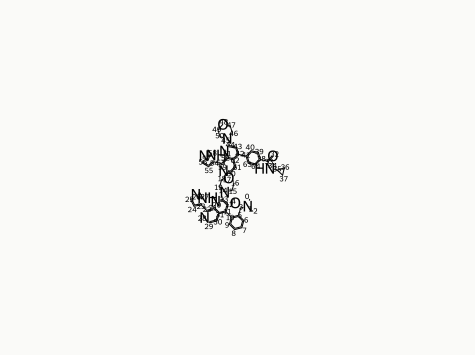 CN(C)C(=O)c1ccccc1-c1cc(N2CCOCC2)nc2c(-c3ccn[nH]3)nccc12.O=C(NC1CC1)c1ccc(-c2cc(N3CCOCC3)nc3c(-c4ccn[nH]4)nccc23)cc1